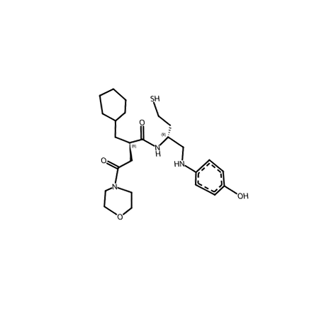 O=C(N[C@H](CCS)CNc1ccc(O)cc1)[C@@H](CC(=O)N1CCOCC1)CC1CCCCC1